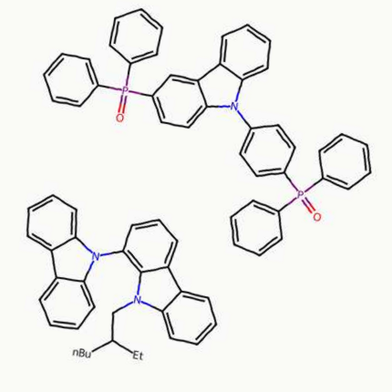 CCCCC(CC)Cn1c2ccccc2c2cccc(-n3c4ccccc4c4ccccc43)c21.O=P(c1ccccc1)(c1ccccc1)c1ccc(-n2c3ccccc3c3cc(P(=O)(c4ccccc4)c4ccccc4)ccc32)cc1